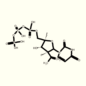 C=C(C)[C@]1(F)C(n2ccc(=O)[nH]c2=O)O[C@](F)(COP(=O)(O)OP(=O)(O)OP(=O)(O)O)[C@H]1O